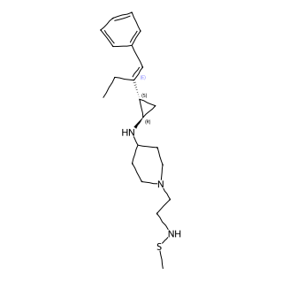 CC/C(=C\c1ccccc1)[C@@H]1C[C@H]1NC1CCN(CCNSC)CC1